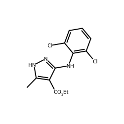 CCOC(=O)c1c(Nc2c(Cl)cccc2Cl)n[nH]c1C